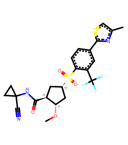 CO[C@H]1C[C@@H](S(=O)(=O)c2ccc(-c3nc(C)cs3)cc2C(F)(F)F)C[C@@H]1C(=O)NC1(C#N)CC1